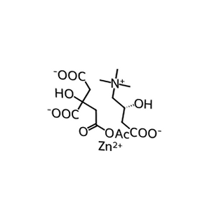 CC(=O)OC(=O)CC(O)(CC(=O)[O-])C(=O)[O-].C[N+](C)(C)C[C@H](O)CC(=O)[O-].[Zn+2]